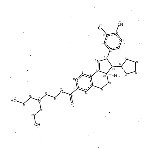 N#Cc1ccc(N2N=C3c4ccc(C(=O)OCCN(CCO)CCO)cc4CC[C@@H]3[C@@H]2C2CCCC2)cc1Cl